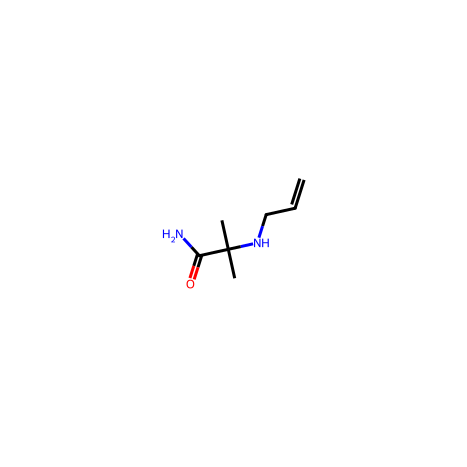 C=CCNC(C)(C)C(N)=O